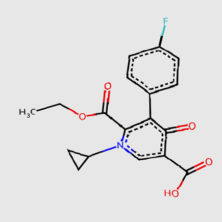 CCOC(=O)c1c(-c2ccc(F)cc2)c(=O)c(C(=O)O)cn1C1CC1